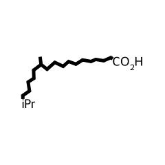 CC(C)CCCCCC(C)CCCCCCCCCCC(=O)O